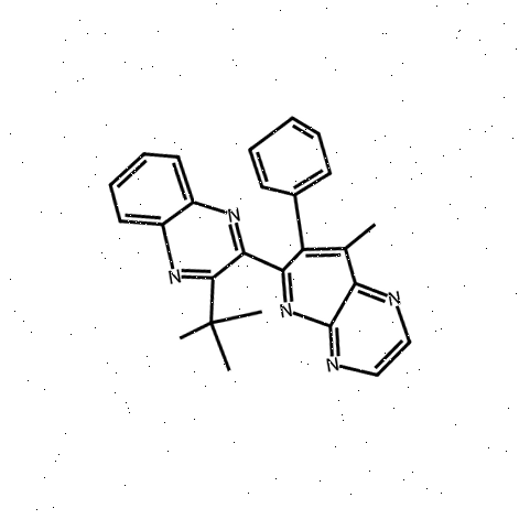 Cc1c(-c2ccccc2)c(-c2nc3ccccc3nc2C(C)(C)C)nc2nccnc12